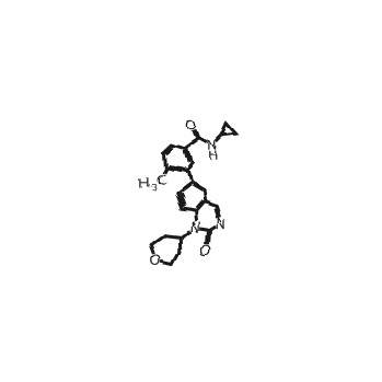 Cc1ccc(C(=O)NC2CC2)cc1-c1ccc2c(cnc(=O)n2C2CCOCC2)c1